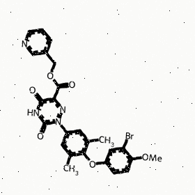 COc1ccc(Oc2c(C)cc(-n3nc(C(=O)OCc4cccnc4)c(=O)[nH]c3=O)cc2C)cc1Br